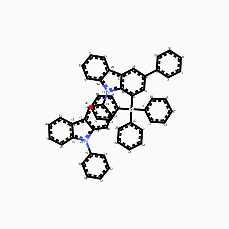 c1ccc(-c2cc([Si](c3ccccc3)(c3ccccc3)c3ccccc3)c3c(c2)c2ccccc2n3-c2ccc3c(c2)c2ccccc2n3-c2ccccc2)cc1